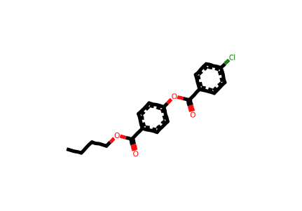 CCCCOC(=O)c1ccc(OC(=O)c2ccc(Cl)cc2)cc1